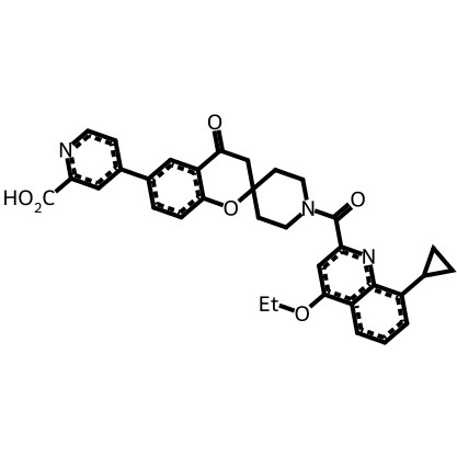 CCOc1cc(C(=O)N2CCC3(CC2)CC(=O)c2cc(-c4ccnc(C(=O)O)c4)ccc2O3)nc2c(C3CC3)cccc12